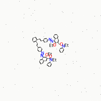 CCOc1c(CON(CC)c2ccccc2)cc2ccccc2c1N=Nc1ccc(C=Cc2ccccc2C=Cc2ccc(N=Nc3c(OCC)c(C(=O)N(CC)c4ccccc4)cc4ccccc34)cc2)cc1